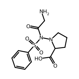 NCC(=O)N(N1CCCC1C(=O)O)S(=O)(=O)c1ccccc1